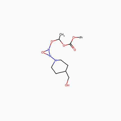 CC(C)OC(=O)OC(C)On1on1N1CCC(CO)CC1